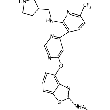 CC(=O)Nc1nc2c(Oc3cc(-c4ccc(C(F)(F)F)nc4NCC4CCNC4)ncn3)cccc2s1